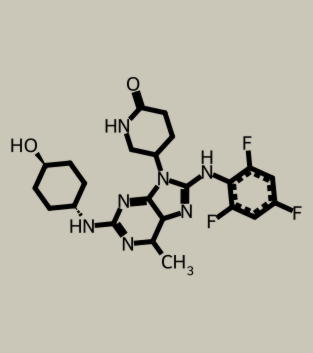 CC1N=C(N[C@H]2CC[C@H](O)CC2)N=C2C1N=C(Nc1c(F)cc(F)cc1F)N2C1CCC(=O)NC1